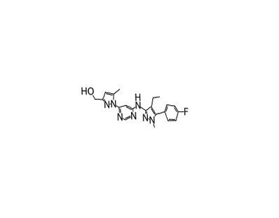 CCc1c(Nc2cc(-n3nc(CO)cc3C)ncn2)nn(C)c1-c1ccc(F)cc1